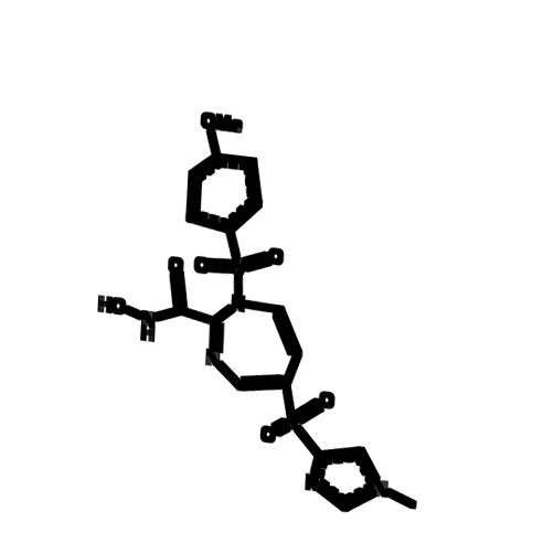 COc1ccc(S(=O)(=O)N2C=CC(S(=O)(=O)c3cn(C)cn3)=CN=C2C(=O)NO)cc1